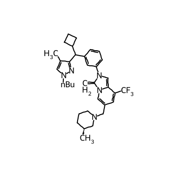 C=C1N2C=C(CN3CCC[C@H](C)C3)C=C(C(F)(F)F)C2=CN1c1cccc(C(c2nn(CCCC)cc2C)C2CCC2)c1